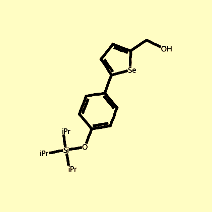 CC(C)[Si](Oc1ccc(-c2ccc(CO)[se]2)cc1)(C(C)C)C(C)C